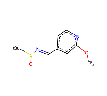 CC(C)(C)[S+]([O-])N=Cc1ccnc(OC(F)(F)F)c1